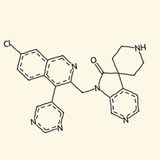 O=C1N(Cc2ncc3cc(Cl)ccc3c2-c2cncnc2)c2cnccc2C12CCNCC2